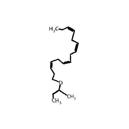 CC/C=C\C/C=C\C/C=C\C/C=C\CCOC(C)CC